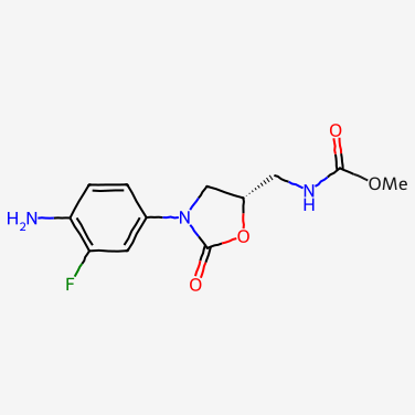 COC(=O)NC[C@H]1CN(c2ccc(N)c(F)c2)C(=O)O1